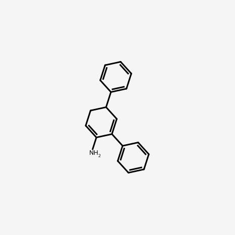 NC1=CCC(c2ccccc2)C=C1c1ccccc1